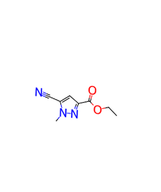 CCOC(=O)c1cc(C#N)n(C)n1